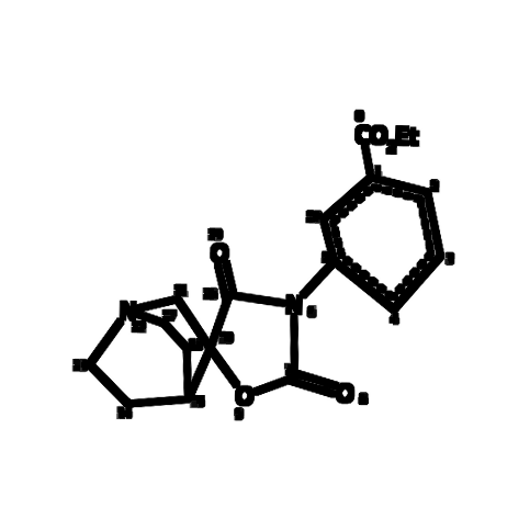 CCOC(=O)c1cccc(N2C(=O)OC3(CN4CCC3CC4)C2=O)c1